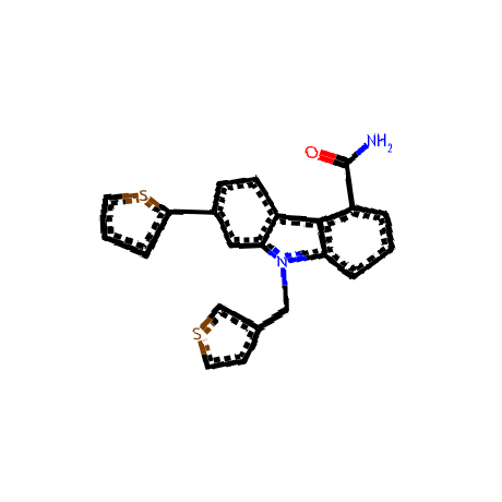 NC(=O)c1cccc2c1c1[c]cc(-c3cccs3)cc1n2Cc1ccsc1